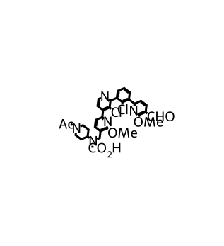 COc1nc(-c2cccc(-c3nccc(-c4ccc(CN(C(=O)O)C5CCN(C(C)=O)CC5)c(OC)n4)c3Cl)c2Cl)ccc1C=O